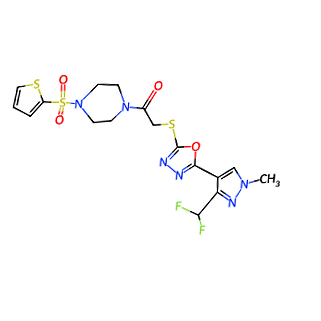 Cn1cc(-c2nnc(SCC(=O)N3CCN(S(=O)(=O)c4cccs4)CC3)o2)c(C(F)F)n1